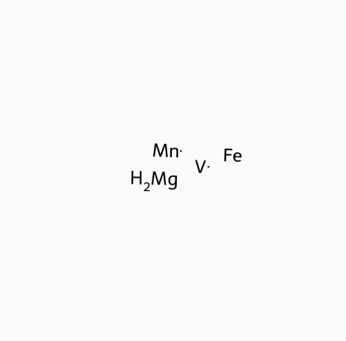 [Fe].[MgH2].[Mn].[V]